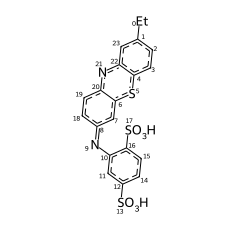 CCc1ccc2sc3c/c(=N\c4cc(S(=O)(=O)O)ccc4S(=O)(=O)O)ccc-3nc2c1